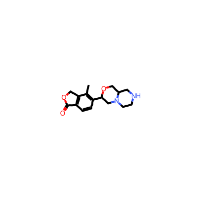 Cc1c(C2CN3CCNCC3CO2)ccc2c1COC2=O